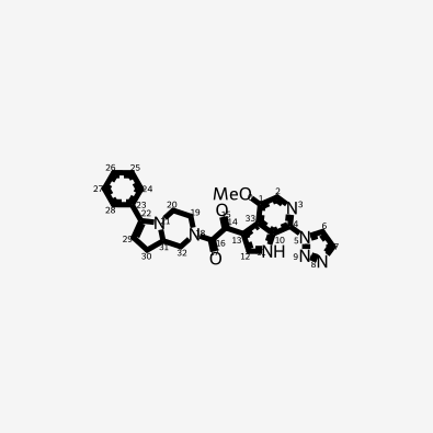 COc1cnc(-n2ccnn2)c2[nH]cc(C(=O)C(=O)N3CCN4C(c5ccccc5)=CCC4C3)c12